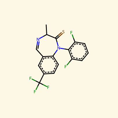 CC1N=Cc2cc(C(F)(F)F)ccc2N(c2c(F)cccc2F)C1=S